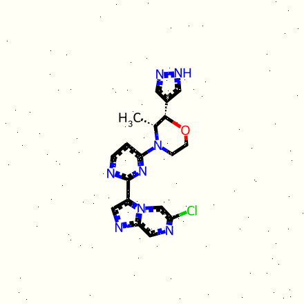 C[C@@H]1[C@H](c2cn[nH]c2)OCCN1c1ccnc(-c2cnc3cnc(Cl)cn23)n1